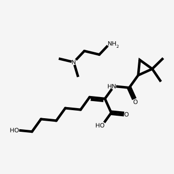 CC1(C)CC1C(=O)N/C(=C/CCCCCO)C(=O)O.CN(C)CCN